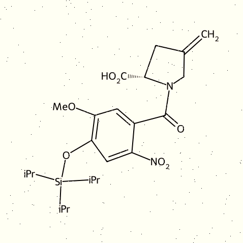 C=C1C[C@@H](C(=O)O)N(C(=O)c2cc(OC)c(O[Si](C(C)C)(C(C)C)C(C)C)cc2[N+](=O)[O-])C1